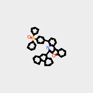 O=P(c1ccccc1)(c1ccccc1)c1ccc(-c2cccc3c2nc(-c2cc4ccccc4c4ccccc24)c2oc4ccccc4c23)cc1